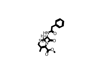 COC(=O)C1=C(C)CS[C@@H]2[C@H](NC(=O)Cc3ccccc3)C(=O)N12